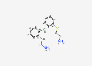 NCCSc1ccccc1.NCCc1ccccc1Cl